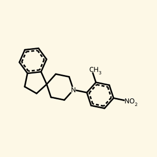 Cc1cc([N+](=O)[O-])ccc1N1CCC2(CCc3ccccc32)CC1